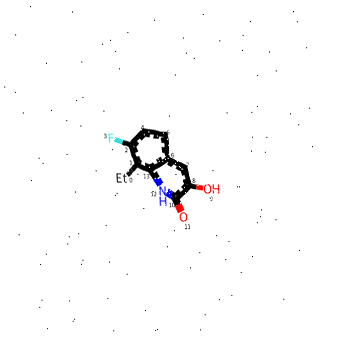 CCc1c(F)ccc2cc(O)c(=O)[nH]c12